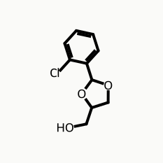 OCC1COC(c2ccccc2Cl)O1